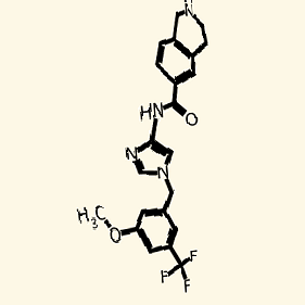 COc1cc(Cn2cnc(NC(=O)c3ccc4c(c3)CCNC4)c2)cc(C(F)(F)F)c1